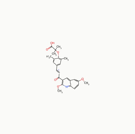 COc1ccc2nc(OC)c(C(=O)/C=C/c3cc(C)c(OC(C)(C)C(=O)O)c(C)c3)cc2c1